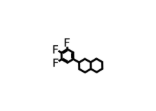 Fc1cc(C2CCC3CCCCC3C2)cc(F)c1F